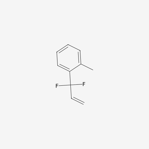 C=CC(F)(F)c1ccccc1C